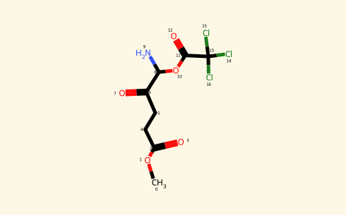 COC(=O)CCC(=O)C(N)OC(=O)C(Cl)(Cl)Cl